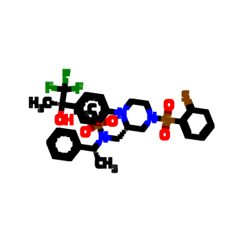 C[C@H](c1ccccc1)N(C[C@H]1CN(S(=O)(=O)C2=CC=CCC2=S)CCN1c1ccc([C@@](C)(O)C(F)(F)F)cc1)S(C)(=O)=O